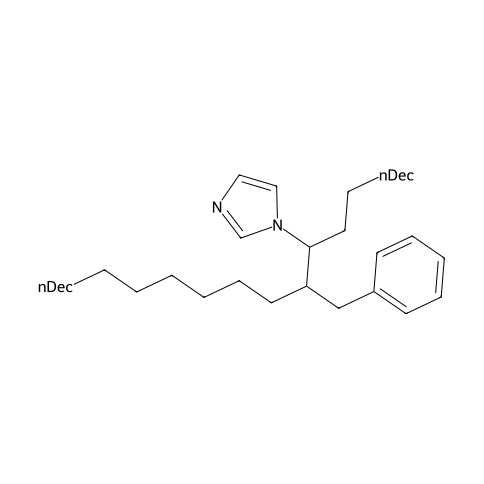 CCCCCCCCCCCCCCCCC(Cc1ccccc1)C(CCCCCCCCCCCC)n1ccnc1